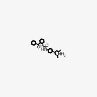 C=C/C=C(\C=C(\C)N)c1ccc(NC(=O)Nc2ccccc2C(=O)c2ccccc2)cc1